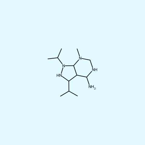 CC(C)C1NN(C(C)C)C2C1C(N)NCN2C